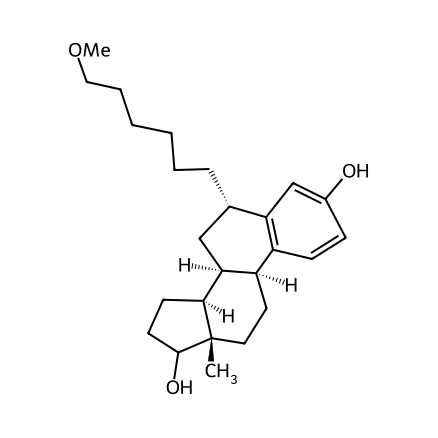 COCCCCCC[C@H]1C[C@H]2[C@H](CC[C@]3(C)C(O)CC[C@@H]23)c2ccc(O)cc21